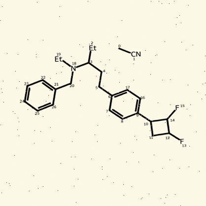 CC#N.CCC(CCc1ccc(C2CC(F)C2F)cc1)N(CC)Cc1ccccc1